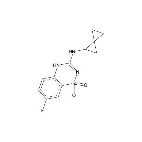 O=S1(=O)N=C(NC2CC23CC3)Nc2ccc(F)cc21